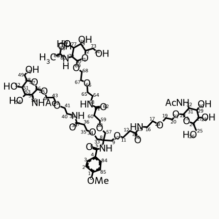 COc1ccc(C(=O)NC(COCCC(=O)NCCOCCOC2OC(CO)C(O)C(O)C2NC(C)=O)(COCCC(=O)NCCOCCOC2OC(CO)C(O)C(O)C2NC(C)=O)COCCC(=O)NCCOCCOC2OC(CO)C(O)C(O)C2NC(C)O)cc1